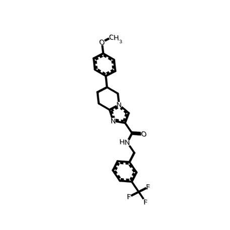 COc1ccc(C2CCc3nc(C(=O)NCc4cccc(C(F)(F)F)c4)cn3C2)cc1